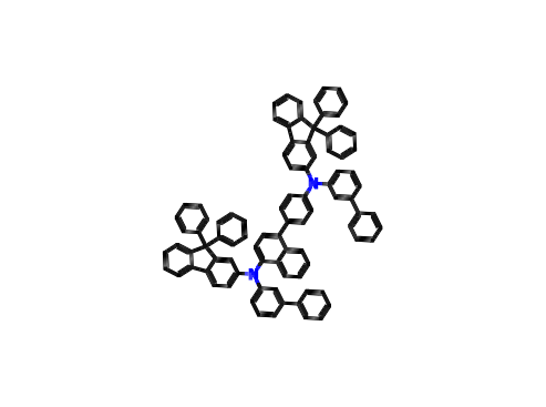 c1ccc(-c2cccc(N(c3ccc(-c4ccc(N(c5cccc(-c6ccccc6)c5)c5ccc6c(c5)C(c5ccccc5)(c5ccccc5)c5ccccc5-6)c5ccccc45)cc3)c3ccc4c(c3)C(c3ccccc3)(c3ccccc3)c3ccccc3-4)c2)cc1